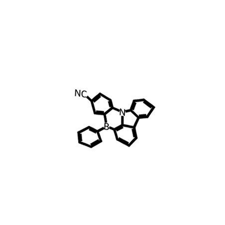 N#Cc1ccc2c(c1)B(c1ccccc1)c1cccc3c4ccccc4n-2c13